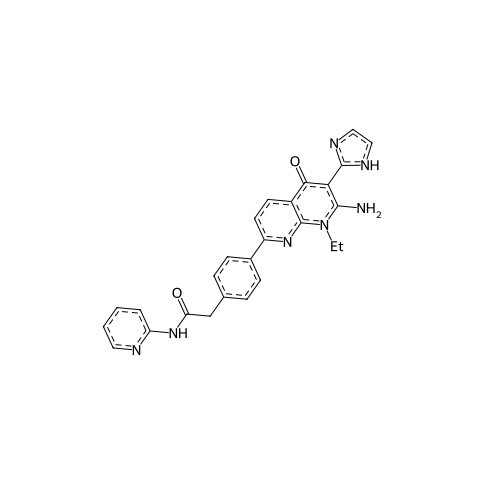 CCn1c(N)c(-c2ncc[nH]2)c(=O)c2ccc(-c3ccc(CC(=O)Nc4ccccn4)cc3)nc21